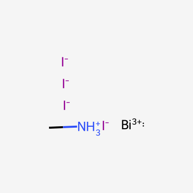 C[NH3+].[Bi+3].[I-].[I-].[I-].[I-]